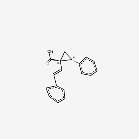 O=C(O)[C@@]1(/C=C/c2ccccc2)C[C@@H]1c1ccccc1